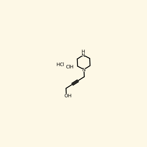 Cl.Cl.OCC#CCN1CCNCC1